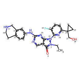 CCn1c(=O)c2cnc(Nc3ccc4c(c3)CNCC4)nc2n1-c1nc(C2(CO)CC2)ccc1F